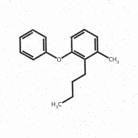 CCCCc1c(Oc2ccccc2)[c]ccc1C